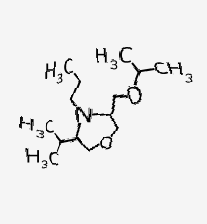 CCCN1C(COC(C)C)COCC1C(C)C